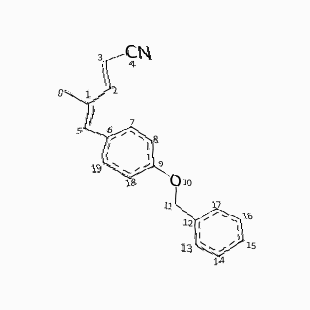 CC(C=CC#N)=Cc1ccc(OCc2ccccc2)cc1